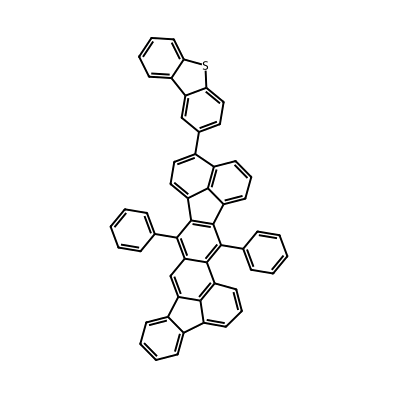 c1ccc(-c2c3cc4c5ccccc5c5cccc(c3c(-c3ccccc3)c3c6cccc7c(-c8ccc9sc%10ccccc%10c9c8)ccc(c23)c76)c54)cc1